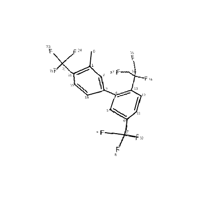 Cc1cc(-c2cc(C(F)(F)F)ccc2C(F)(F)F)ccc1C(F)(F)F